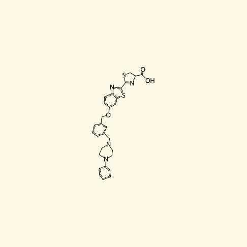 O=C(O)C1CSC(c2nc3ccc(OCc4cccc(CN5CCN(c6ccccc6)CC5)c4)cc3s2)=N1